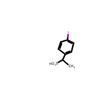 CC(c1ccc(I)cc1)S(=O)(=O)O